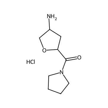 Cl.NC1COC(C(=O)N2CCCC2)C1